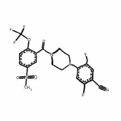 CS(=O)(=O)c1ccc(OC(F)(F)F)c(C(=O)N2CCN(c3cc(F)c(C#N)cc3F)CC2)c1